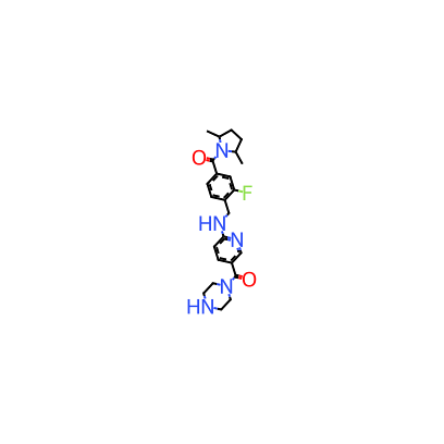 CC1CCC(C)N1C(=O)c1ccc(CNc2ccc(C(=O)N3CCNCC3)cn2)c(F)c1